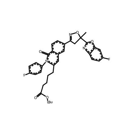 CC(C)(C)OC(=O)CCCCc1cc2cc(C3=NOC(C)(c4nc5ccc(F)cc5o4)C3)ccc2c(=O)n1-c1ccc(F)cc1